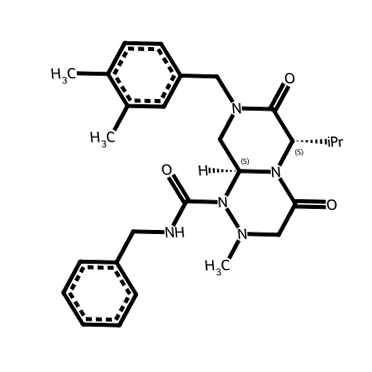 Cc1ccc(CN2C[C@H]3N(C(=O)CN(C)N3C(=O)NCc3ccccc3)[C@@H](C(C)C)C2=O)cc1C